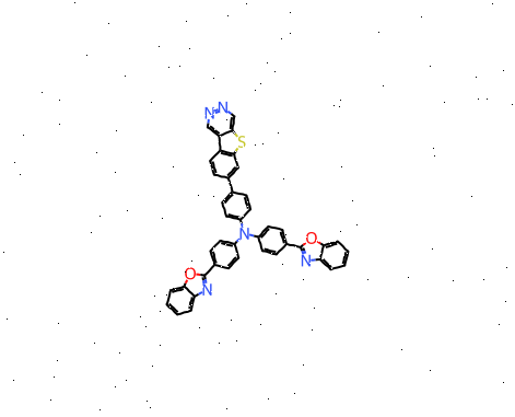 c1ccc2oc(-c3ccc(N(c4ccc(-c5ccc6c(c5)sc5cnncc56)cc4)c4ccc(-c5nc6ccccc6o5)cc4)cc3)nc2c1